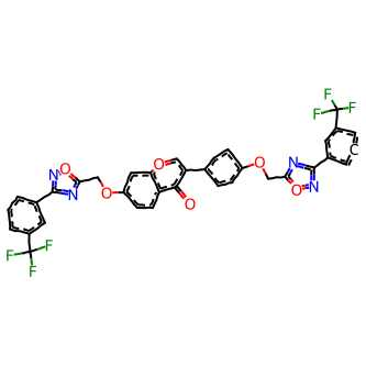 O=c1c(-c2ccc(OCc3nc(-c4cccc(C(F)(F)F)c4)no3)cc2)coc2cc(OCc3nc(-c4cccc(C(F)(F)F)c4)no3)ccc12